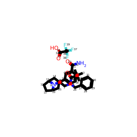 CC(C)(C)C(=O)N(CCN1C2CCC1CC(c1cccc(C(N)=O)c1)C2)Cc1ccccc1.O=C(O)C(F)(F)F